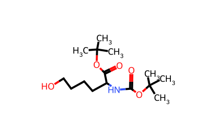 CC(C)(C)OC(=O)NC(CCCCO)C(=O)OC(C)(C)C